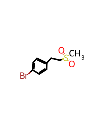 CS(=O)(=O)CCc1ccc(Br)cc1